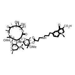 CC[C@H]1OC(=O)[C@H](C)[C@@H](O[C@H]2C[C@@](C)(OC)[C@@H](OC(=O)CCNCCCc3ccc4c(c3)c(=O)c(C(=O)O)cn4C)[C@H](C)O2)[C@H](C)[C@@H](O[C@@H]2O[C@H](C)C[C@H](N(C)C)[C@@H]2O)[C@](C)(OC)C[C@@H](C)C(=O)[C@H](C)[C@@H](O)[C@]1(C)O